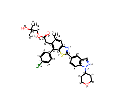 Cc1cc2nc(-c3ccc4c(cnn4C4CCOCC4)c3)sc2c(-c2ccc(Cl)cc2)c1CC(=O)OCC(C)(C)O